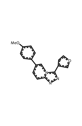 COc1ccc(-c2ccc3nnc(-c4ccoc4)n3c2)cc1